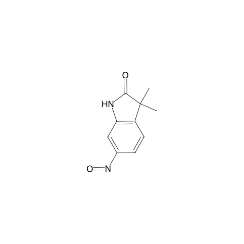 CC1(C)C(=O)Nc2cc(N=O)ccc21